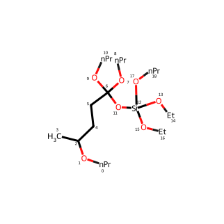 CCCOC(C)CCC(OCCC)(OCCC)O[Si](OCC)(OCC)OCCC